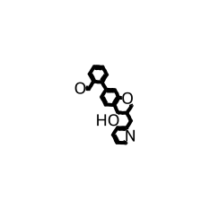 O=Cc1ccccc1-c1ccc2c(c1)OCC(Cc1ccccn1)C2O